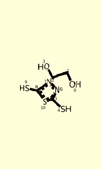 OCCO.Sc1nnc(S)s1